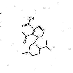 CC(=O)c1c(C(=O)O)cccc1C1CC(C)CCC1C(C)C